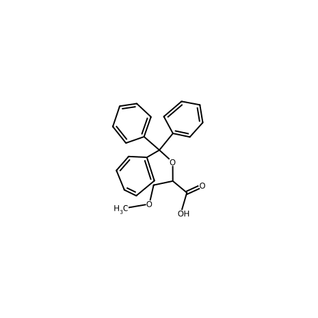 COCC(OC(c1ccccc1)(c1ccccc1)c1ccccc1)C(=O)O